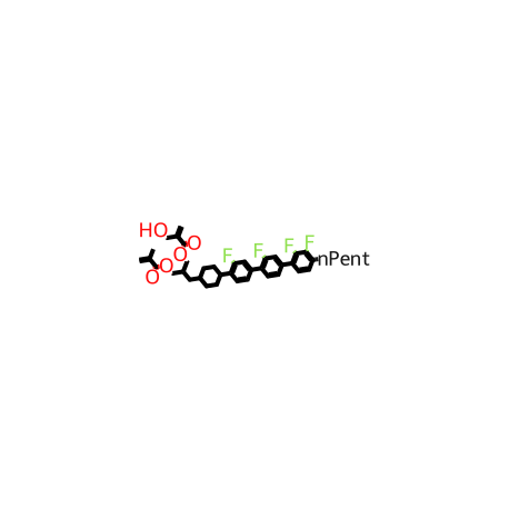 C=C(C)C(=O)OCC(COC(=O)C(=C)CO)CC1CCC(c2ccc(-c3ccc(-c4ccc(CCCCC)c(F)c4F)cc3F)cc2F)CC1